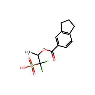 CC(OC(=O)c1ccc2c(c1)CCC2)C(F)(F)S(=O)(=O)O